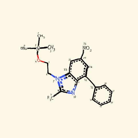 CC(C)(C)[Si](C)(C)OCCn1c(C(F)(F)F)nc2c(-c3ccccc3)cc([N+](=O)[O-])cc21